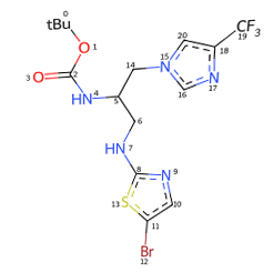 CC(C)(C)OC(=O)NC(CNc1ncc(Br)s1)Cn1cnc(C(F)(F)F)c1